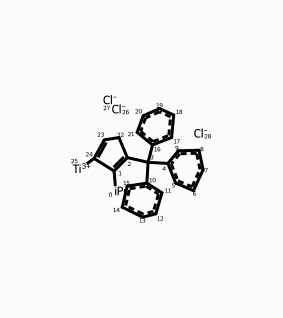 CC(C)C1=C(C(c2ccccc2)(c2ccccc2)c2ccccc2)CC=[C]1[Ti+3].[Cl-].[Cl-].[Cl-]